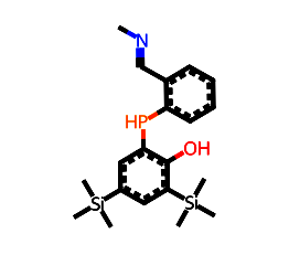 C/N=C/c1ccccc1Pc1cc([Si](C)(C)C)cc([Si](C)(C)C)c1O